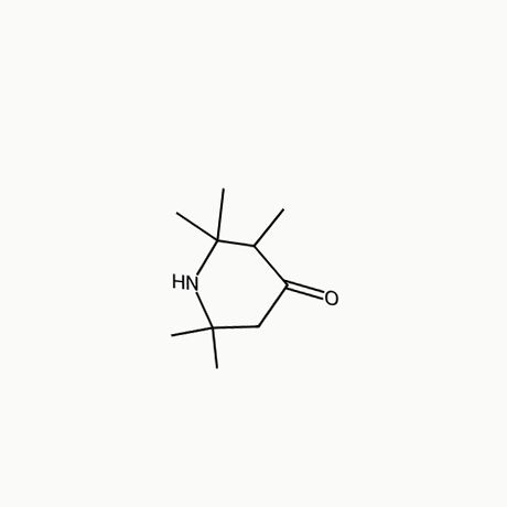 CC1C(=O)CC(C)(C)NC1(C)C